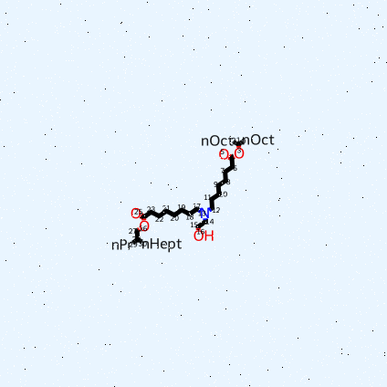 CCCCCCCCC(CCCCCCCC)OC(=O)CCCCCCCN(CCO)CCCCCCCC(=O)OCC(CCC)CCCCCCC